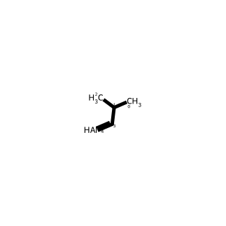 CC(C)[CH]=[AlH]